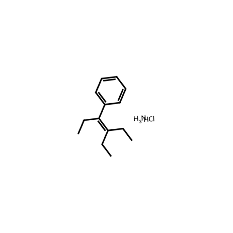 CCC(CC)=C(CC)c1ccccc1.Cl.N